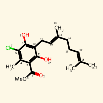 COC(=O)c1c(C)c(Cl)c(O)c(C/C=C(\C)CCC=C(C)C)c1O